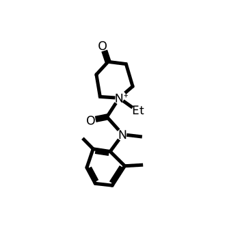 CC[N+]1(C(=O)N(C)c2c(C)cccc2C)CCC(=O)CC1